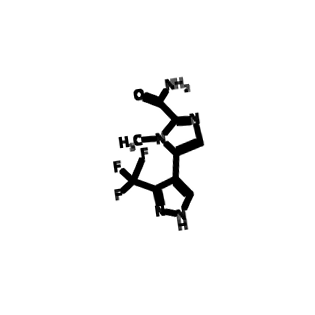 Cn1c(-c2c[nH]nc2C(F)(F)F)cnc1C(N)=O